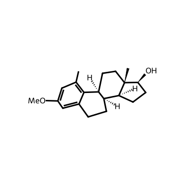 COc1cc(C)c2c(c1)CC[C@H]1[C@@H]2CC[C@]2(C)[C@@H](O)CC[C@@H]12